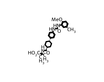 COc1ccc(C)cc1NC(=O)Nc1ccc([C@H]2CC[C@H](C(=O)NC(C)(C)C(=O)O)CC2)cc1